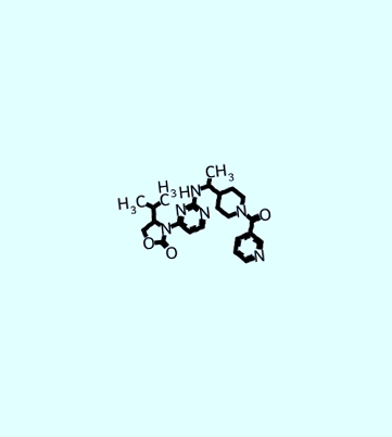 CC(C)C1COC(=O)N1c1ccnc(NC(C)C2CCN(C(=O)c3cccnc3)CC2)n1